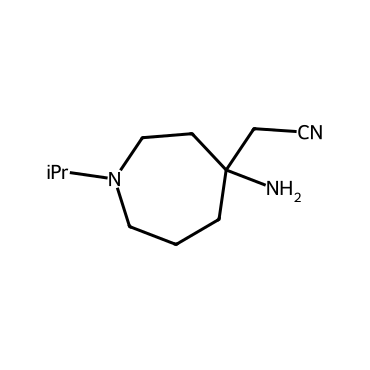 CC(C)N1CCCC(N)(CC#N)CC1